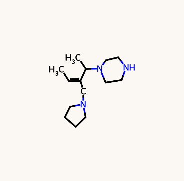 C/C=C(/CN1CCCC1)C(C)N1CCNCC1